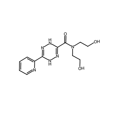 O=C(C1=NNC(c2ccccn2)=NN1)N(CCO)CCO